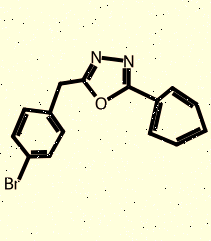 Brc1ccc(Cc2nnc(-c3ccccc3)o2)cc1